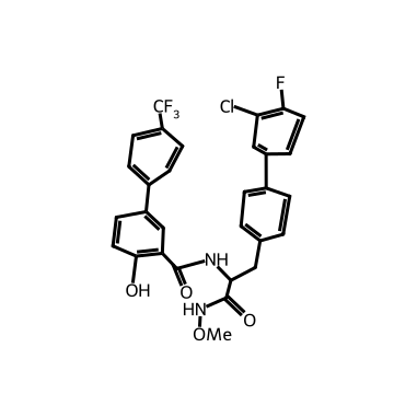 CONC(=O)C(Cc1ccc(-c2ccc(F)c(Cl)c2)cc1)NC(=O)c1cc(-c2ccc(C(F)(F)F)cc2)ccc1O